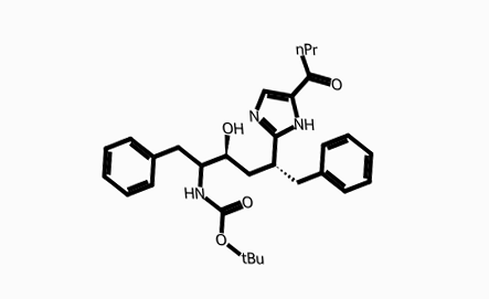 CCCC(=O)c1cnc([C@H](Cc2ccccc2)C[C@H](O)C(Cc2ccccc2)NC(=O)OC(C)(C)C)[nH]1